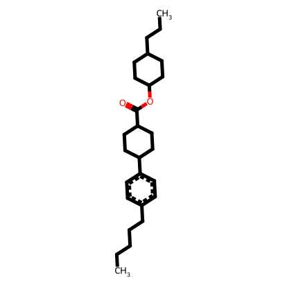 CCCCCc1ccc(C2CCC(C(=O)OC3CCC(CCC)CC3)CC2)cc1